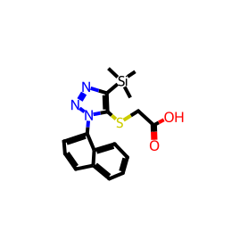 C[Si](C)(C)c1nnn(-c2cccc3ccccc23)c1SCC(=O)O